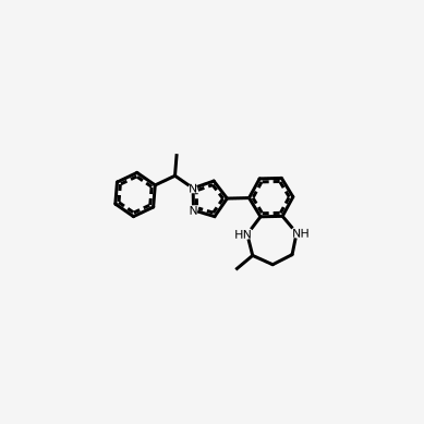 CC1CCNc2cccc(-c3cnn(C(C)c4ccccc4)c3)c2N1